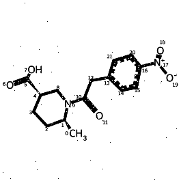 C[C@H]1CC[C@@H](C(=O)O)CN1C(=O)Cc1ccc([N+](=O)[O-])cc1